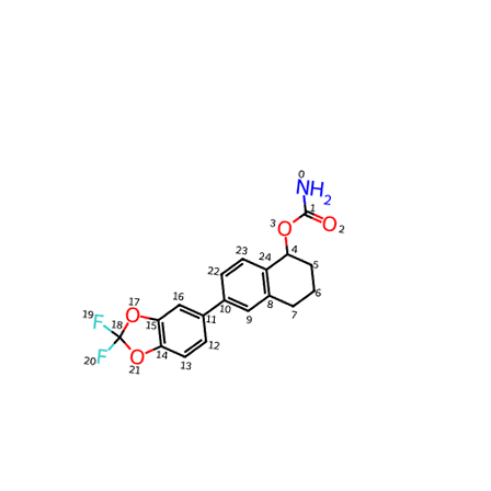 NC(=O)OC1CCCc2cc(-c3ccc4c(c3)OC(F)(F)O4)ccc21